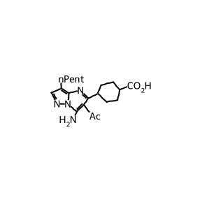 CCCCCc1cnn2c(N)c(C(C)=O)c(C3CCC(C(=O)O)CC3)nc12